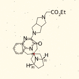 CCOC(=O)CN1CC2CN(c3nc4ccccc4n([C@H]4C[C@H]5CC[C@@H](C4)N5C4CCCCCCC4)c3=O)CC2C1